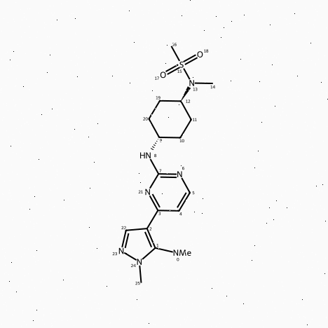 CNc1c(-c2ccnc(N[C@H]3CC[C@H](N(C)S(C)(=O)=O)CC3)n2)cnn1C